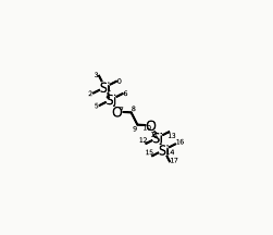 C[Si](C)(C)[Si](C)(C)OCCO[Si](C)(C)[Si](C)(C)C